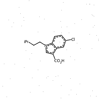 CC(C)CCn1cc(C(=O)O)c2cc(Cl)ccc21